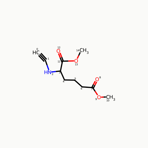 C#CNC(CCCC(=O)OC)C(=O)OC